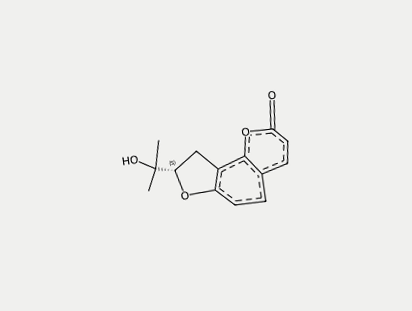 CC(C)(O)[C@@H]1Cc2c(ccc3ccc(=O)oc23)O1